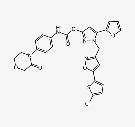 O=C(Nc1ccc(N2CCOCC2=O)cc1)Oc1cc(-c2ccco2)n(Cc2cc(-c3ccc(Cl)s3)on2)n1